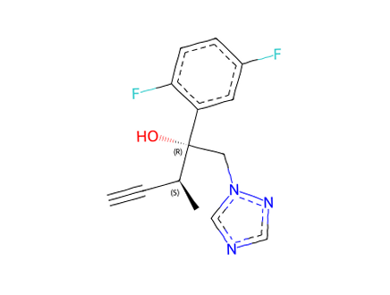 C#C[C@H](C)[C@](O)(Cn1cncn1)c1cc(F)ccc1F